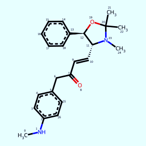 CNc1ccc(CC(=O)/C=C/[C@@H]2[C@@H](c3ccccc3)OC(C)(C)N2C)cc1